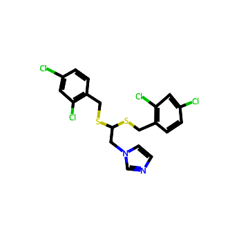 Clc1ccc(CSC(Cn2ccnc2)SCc2ccc(Cl)cc2Cl)c(Cl)c1